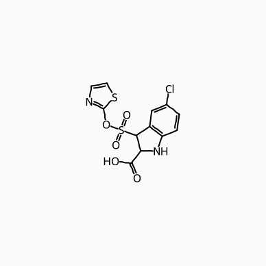 O=C(O)C1Nc2ccc(Cl)cc2C1S(=O)(=O)Oc1nccs1